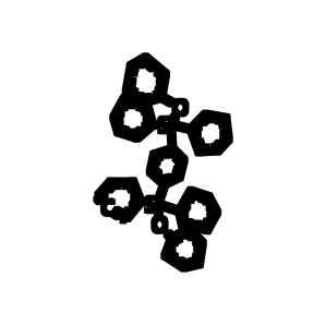 c1ccc(O[Si](c2ccccc2)(c2ccccc2)c2ccc([Si](Oc3ccccc3)(c3ccccc3)c3ccccc3)cc2)cc1